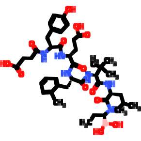 CCC(NC(=O)[C@H](CC(C)C)NC(=O)[C@@H](NC(=O)[C@H](Cc1ccccc1C)NC(=O)[C@H](CCC(=O)O)NC(=O)[C@H](Cc1ccc(O)cc1)NC(=O)CCC(=O)O)C(C)(C)C)B(O)O